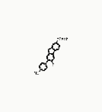 CCCCCc1ccc2c(c1)Cc1cc(-c3ccc(C#N)cc3)c(F)cc1-2